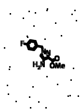 COC(=O)c1nn(Cc2ccc(F)cc2)cc1N